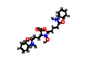 COn1c(=CC=Cc2oc3ccccc3[n+]2C)oc(=O)c1=CC=C1Oc2ccccc2N1C